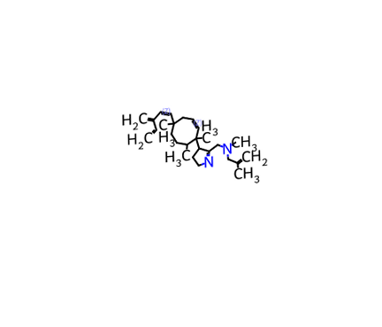 C=CC(=C)/C=C\C1(C)C/C=C\C(C)(C2CCN=C2CN(C)CC(=C)C)C(C)CC1